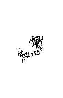 O=C1CO[C@H]2CCN(C(=O)N3CCC4(CC3)CC(Cc3cc5[nH]nc(C(F)(F)F)c5cn3)C4)C[C@H]2N1